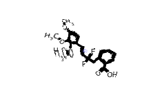 COc1ccc(/C=C/C(F)(F)Cc2ccccc2C(=O)O)c(OC)c1OC